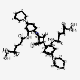 O=C(CCC(=O)NC1=CC(=[N+]2CCCCC2)C=C/C1=C1\C(=O)C(c2ccc(N3CCCCC3)cc2NC(=O)CCC(=O)NO)=C1[O-])NO